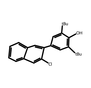 CC(C)(C)c1cc(-c2cc3ccccc3cc2Cl)cc(C(C)(C)C)c1O